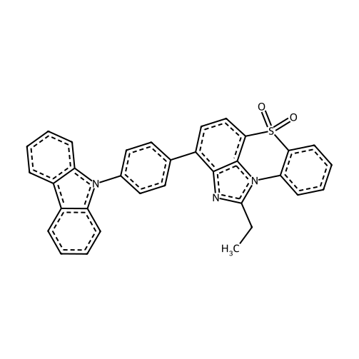 CCc1nc2c(-c3ccc(-n4c5ccccc5c5ccccc54)cc3)ccc3c2n1-c1ccccc1S3(=O)=O